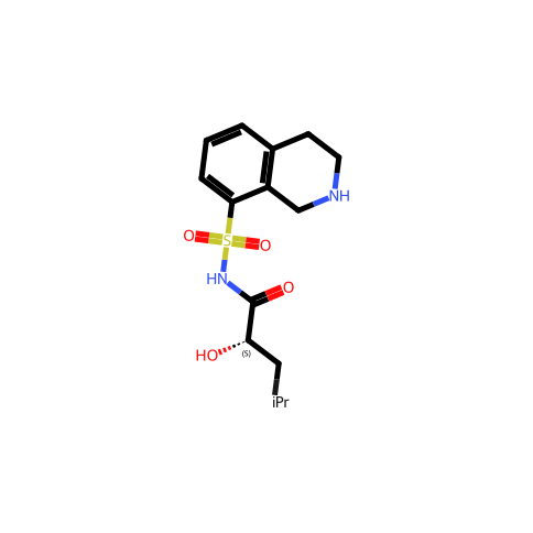 CC(C)C[C@H](O)C(=O)NS(=O)(=O)c1cccc2c1CNCC2